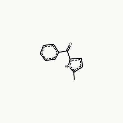 Cc1ccc(C(=O)c2ccccc2)[nH]1